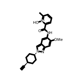 C#C[C@H]1CC[C@H](n2cc3cc(NC(=O)c4cccc(C)[n+]4O)c(OC)cc3n2)CC1